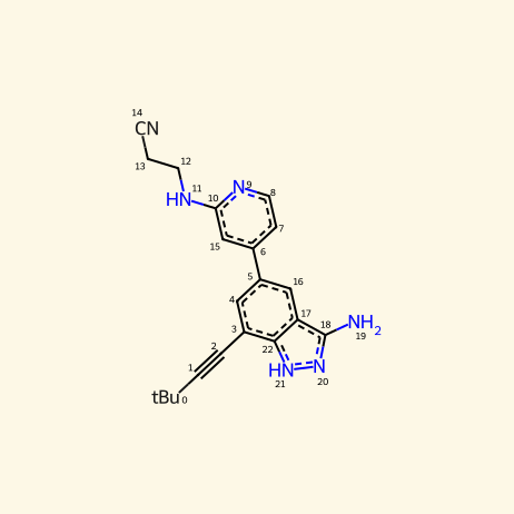 CC(C)(C)C#Cc1cc(-c2ccnc(NCCC#N)c2)cc2c(N)n[nH]c12